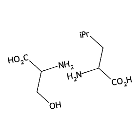 CC(C)CC(N)C(=O)O.NC(CO)C(=O)O